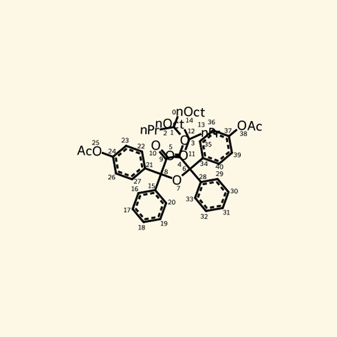 CCCCCCCCC(CCC)OC(=O)C(OC(C(=O)OC(CCC)CCCCCCCC)(c1ccccc1)c1ccc(OC(C)=O)cc1)(c1ccccc1)c1ccc(OC(C)=O)cc1